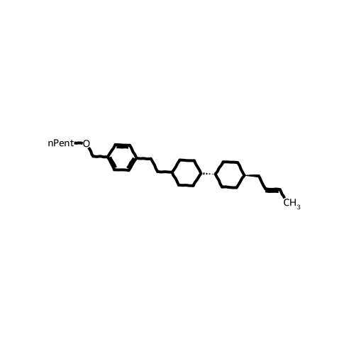 C/C=C/C[C@H]1CC[C@H](C2CCC(CCc3ccc(COCCCCC)cc3)CC2)CC1